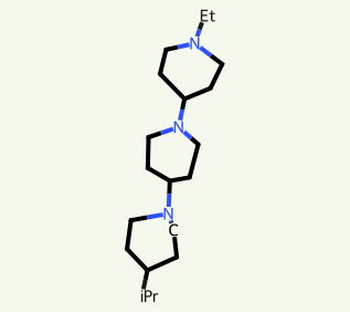 CCN1CCC(N2CCC(N3CCC(C(C)C)CC3)CC2)CC1